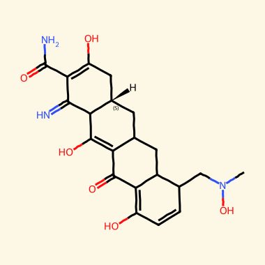 CN(O)CC1C=CC(O)=C2C(=O)C3=C(O)C4C(=N)C(C(N)=O)=C(O)C[C@@H]4CC3CC21